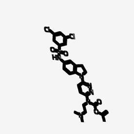 C=C(C)OC(=O)N(CCN(C)C)c1ccc(N2CCc3cc(NS(=O)(=O)C4C=C(Cl)C=C(Cl)C4)ccc32)nn1